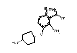 Cc1c(O[C@H]2CC[C@@H](N)CC2)ccc2[nH]nc(Br)c12